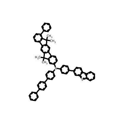 CC1(C)c2cc(N(c3ccc(-c4ccc(-c5ccccc5)cc4)cc3)c3ccc(-c4ccc5c(c4)sc4ccccc45)cc3)ccc2-c2cc3c(cc21)-c1cccc(-c2ccccc2)c1C3(C)C